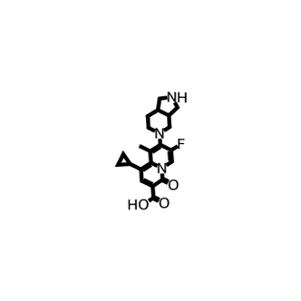 Cc1c(N2CCC3CNCC3C2)c(F)cn2c(=O)c(C(=O)O)cc(C3CC3)c12